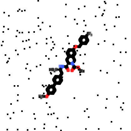 CC(C)(C)OC(=O)N1Cc2cc(OCc3ccc(C(F)(F)F)cc3)ccc2C[C@H]1C(=O)N[C@@H](Cc1ccc(-c2ccc(OC(F)(F)F)cc2)cc1)C(=O)O